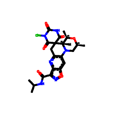 CC(C)NC(=O)c1noc2cc3c(nc12)CC1(C(=O)NC(=O)N(Cl)C1=O)[C@@H]1[C@@H](C)O[C@@H](C)CN31